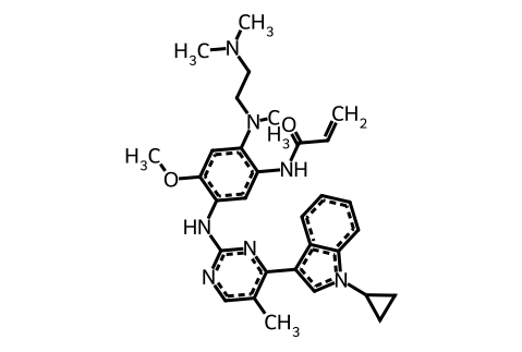 C=CC(=O)Nc1cc(Nc2ncc(C)c(-c3cn(C4CC4)c4ccccc34)n2)c(OC)cc1N(C)CCN(C)C